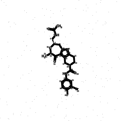 CC(=O)NC[C@@H]1Cn2nc3c(c2C(=O)N(C)O1)CN(C(=O)Nc1ccc(F)c(Br)c1)CC3